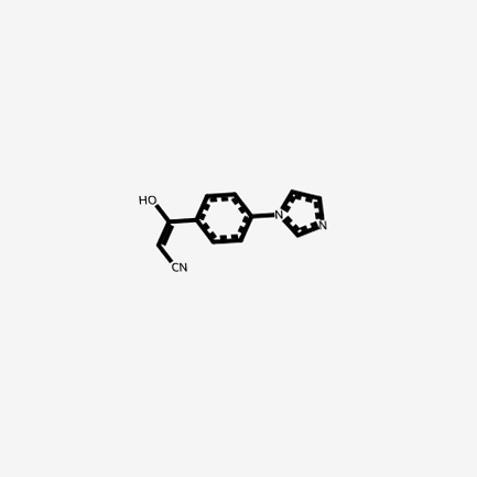 N#C/C=C(/O)c1ccc(-n2ccnc2)cc1